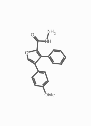 COc1ccc(-c2coc(C(=O)NN)c2-c2ccccc2)cc1